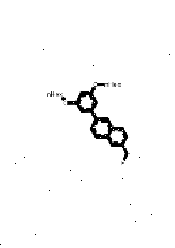 CCCCCCOc1cc(OCCCCCC)cc(-c2ccc3cc(CF)ccc3c2)c1